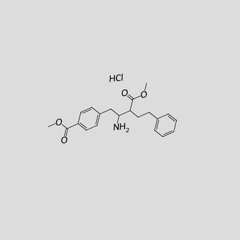 COC(=O)c1ccc(CC(N)C(CCc2ccccc2)C(=O)OC)cc1.Cl